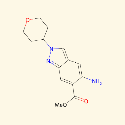 COC(=O)c1cc2nn(C3CCOCC3)cc2cc1N